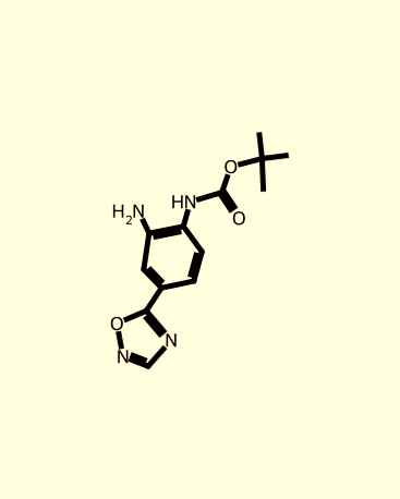 CC(C)(C)OC(=O)Nc1ccc(-c2ncno2)cc1N